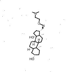 CN(C)CCO/N=C\[C@H]1CC[C@]2(O)[C@@H]3CC[C@@H]4C[C@@H](O)CC[C@]4(C)[C@H]3CC[C@]12C